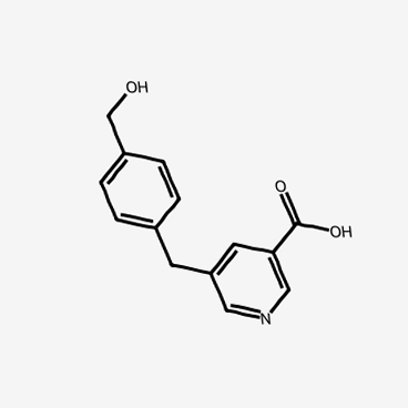 O=C(O)c1cncc(Cc2ccc(CO)cc2)c1